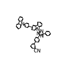 N#Cc1cccc(-c2ccc(-c3nc(-c4ccccc4)nc(-n4c5ccccc5c5cc(-c6ccc(-n7c8ccccc8c8ccccc87)cc6)ccc54)n3)cc2)c1